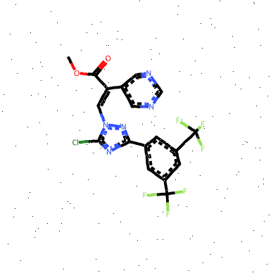 COC(=O)/C(=C/n1nc(-c2cc(C(F)(F)F)cc(C(F)(F)F)c2)nc1Cl)c1cncnc1